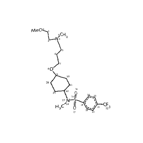 COCCN(C)CCCOC1CCC(N(C)S(=O)(=O)c2ccc(C(F)(F)F)cc2)CC1